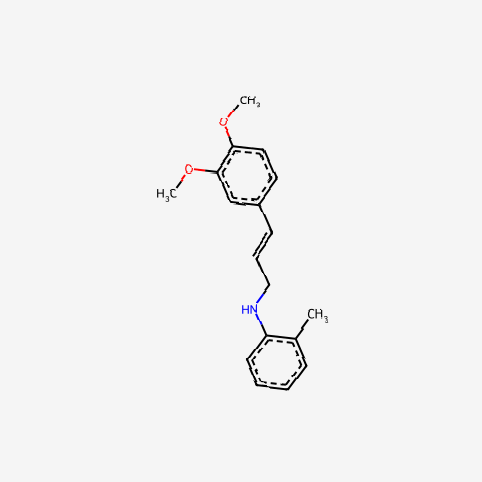 COc1ccc(C=CCNc2ccccc2C)cc1OC